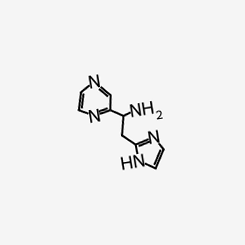 NC(Cc1ncc[nH]1)c1cnccn1